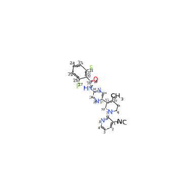 [C-]#[N+]c1cccnc1N1CCC(C)=C(c2cnc(NC(=O)c3c(F)cccc3F)cn2)C1